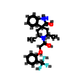 C[C@@H]1CC2(C[C@@H](C)N1C(=O)COc1ccccc1C(F)(F)F)C(=O)Nc1ccccc12